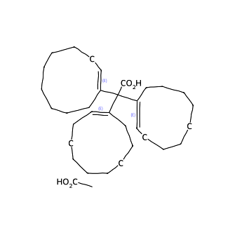 CC(=O)O.O=C(O)C(/C1=C/CCCCCCCC1)(/C1=C/CCCCCCCC1)/C1=C/CCCCCCCC1